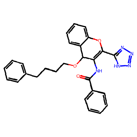 O=C(NC1=C(c2nnn[nH]2)Oc2ccccc2C1OCCCCc1ccccc1)c1ccccc1